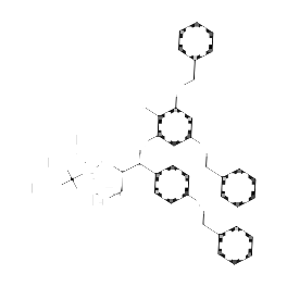 CC(C)(C)[Si](C)(C)O[C@H](CBr)[C@@H](Oc1cc(OCc2ccccc2)cc(OCc2ccccc2)c1I)c1ccc(OCc2ccccc2)cc1